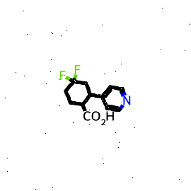 O=C(O)C1CCC(F)(F)CC1c1ccncc1